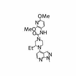 CC[C@H]1CN(C(=O)Nc2ccc(OC)nc2OC)CCN1c1ccnc2c1cnn2C